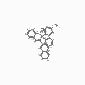 Cc1ccc([B-]2(c3ccccc3)C(c3ccc4ccccc4c3)=Cc3ccccc3[O+]2C)cc1